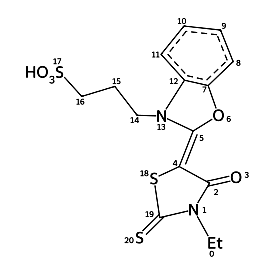 CCN1C(=O)/C(=C2\Oc3ccccc3N2CCCS(=O)(=O)O)SC1=S